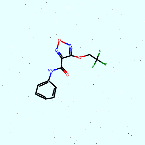 O=C(Nc1ccccc1)c1nonc1OCC(F)(F)F